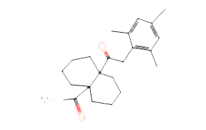 COC(=O)C12CCCCC1(C(=O)Cc1c(C)cc(C)cc1C)CCCC2